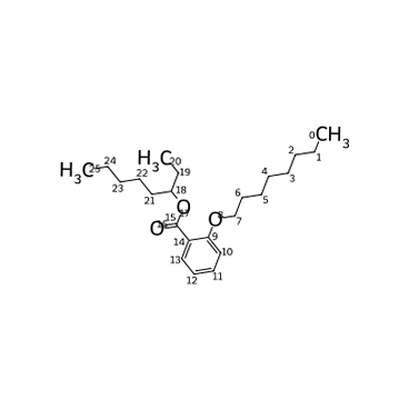 CCCCCCCCOc1ccccc1C(=O)OC(CC)CCCCC